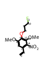 C=Cc1cc(OC)c(OCCCF)c(OC)c1[N+](=O)[O-]